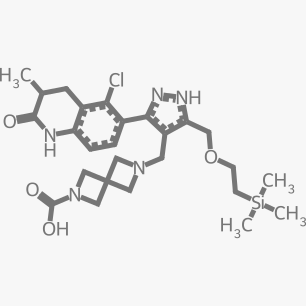 CC1Cc2c(ccc(-c3n[nH]c(COCC[Si](C)(C)C)c3CN3CC4(C3)CN(C(=O)O)C4)c2Cl)NC1=O